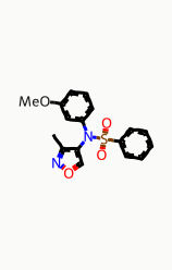 COc1cccc(N(c2conc2C)S(=O)(=O)c2ccccc2)c1